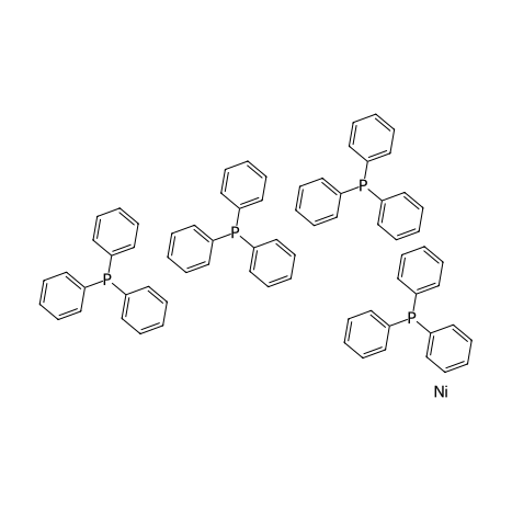 [Ni].c1ccc(P(c2ccccc2)c2ccccc2)cc1.c1ccc(P(c2ccccc2)c2ccccc2)cc1.c1ccc(P(c2ccccc2)c2ccccc2)cc1.c1ccc(P(c2ccccc2)c2ccccc2)cc1